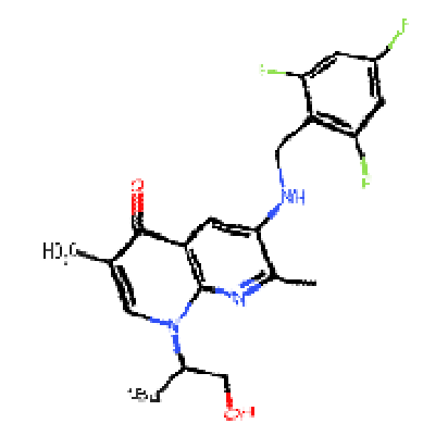 Cc1nc2c(cc1NCc1c(F)cc(F)cc1F)c(=O)c(C(=O)O)cn2C(CO)C(C)(C)C